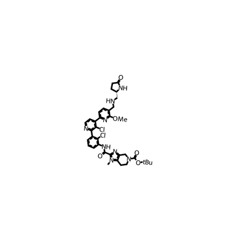 COc1nc(-c2ccnc(-c3cccc(NC(=O)c4nc5c(n4C)CCN(C(=O)OC(C)(C)C)C5)c3Cl)c2Cl)ccc1CNC[C@@H]1CCC(=O)N1